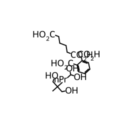 CC(C)(CO)CO.CCCC(O)O.O=C(O)CCCCC(=O)O.O=C(O)c1ccccc1C(=O)O